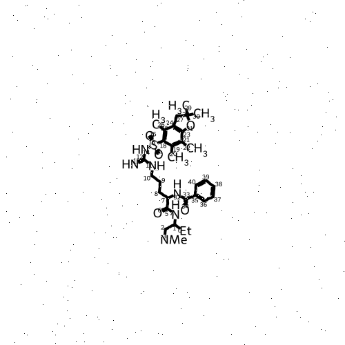 CCC(CNC)NC(=O)C(CCCNC(=N)NS(=O)(=O)c1c(C)c(C)c2c(c1C)CC(C)(C)O2)NC(=O)c1ccccc1